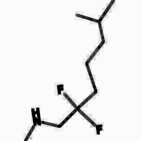 CNCC(F)(F)CCCC(C)C